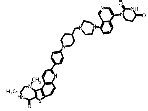 C[C@@H]1CN(C)c2c(sc3ccc4nc(-c5ccc(N6CCC(CN7CCN(c8cccc9c(N%10CCC(=O)NC%10=O)cncc89)CC7)CC6)cc5)ccc4c23)C(=O)N1